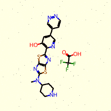 CN(c1nc2sc(-c3ncc(-c4ccnnc4)cc3O)nc2s1)C1CCNCC1.O=C(O)C(F)(F)F